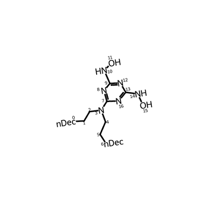 CCCCCCCCCCCCN(CCCCCCCCCCCC)c1nc(NO)nc(NO)n1